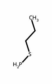 CCCSP